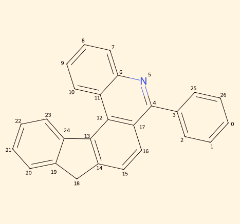 c1ccc(-c2nc3ccccc3c3c4c(ccc23)Cc2ccccc2-4)cc1